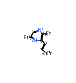 CCCC=Cc1nc(CC)cnc1CC